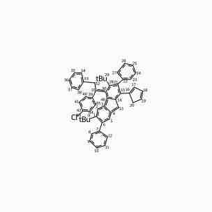 CC(C)(C)c1cc2c(cc1-c1ccccc1)=Cc1c(C3=CC=CC3)c(-c3ccccc3)c(C(C)(C)C)c(=C(Cc3ccccc3)c3ccc(Cl)cc3)c1=2